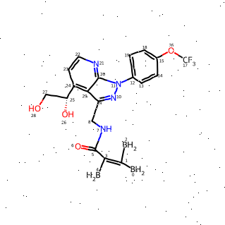 BC(B)=C(B)C(=O)NCc1nn(-c2ccc(OC(F)(F)F)cc2)c2nccc([C@H](O)CO)c12